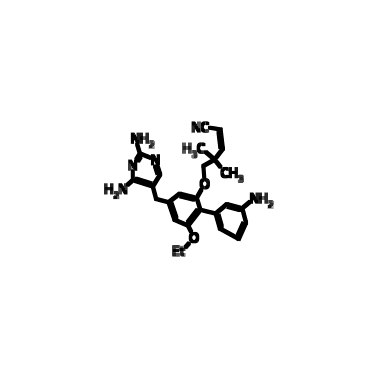 CCOc1cc(Cc2cnc(N)nc2N)cc(OCC(C)(C)/C=C\C#N)c1-c1cccc(N)c1